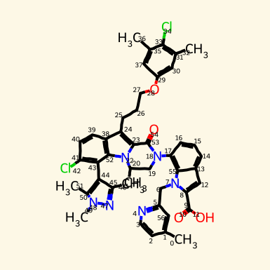 Cc1ccnc(Cn2c(C(=O)O)cc3cccc(N4CC(C)n5c(c(CCCOc6cc(C)c(Cl)c(C)c6)c6ccc(Cl)c(-c7c(C)nn(C)c7C)c65)C4=O)c32)c1